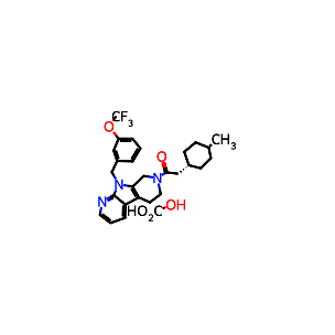 C[C@H]1CC[C@H](CC(=O)N2CCc3c(n(Cc4cccc(OC(F)(F)F)c4)c4ncccc34)C2)CC1.O=C(O)O